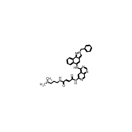 CN(C)CCCNC(=O)C=CC(=O)Nc1cc2c(Nc3cc4cn(Cc5ccccc5)nc4c4ccccc34)ncnc2cn1